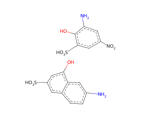 Nc1cc([N+](=O)[O-])cc(S(=O)(=O)O)c1O.Nc1ccc2cc(S(=O)(=O)O)cc(O)c2c1